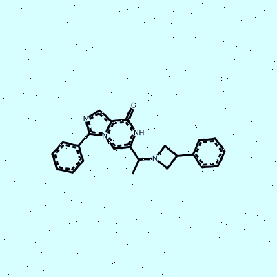 CC(c1cn2c(-c3ccccc3)ncc2c(=O)[nH]1)N1CC(c2ccccc2)C1